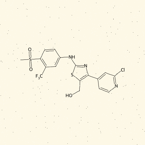 CS(=O)(=O)c1ccc(Nc2nc(-c3ccnc(Cl)c3)c(CO)s2)cc1C(F)(F)F